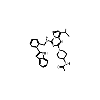 CC(=O)NC1CCN(c2nc(NCc3ccccc3-c3cc4ccccc4[nH]3)n3ncc(C(C)C)c3n2)CC1